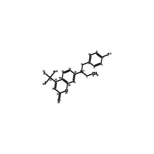 CCN(Cc1ccc(F)cc1)c1ccc2c(C(F)(F)F)cc(=O)oc2c1